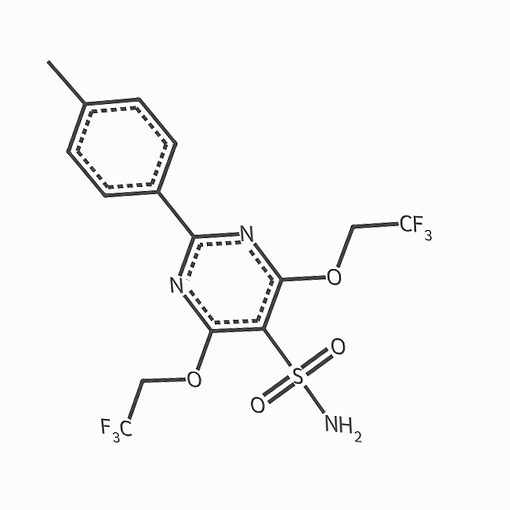 Cc1ccc(-c2nc(OCC(F)(F)F)c(S(N)(=O)=O)c(OCC(F)(F)F)n2)cc1